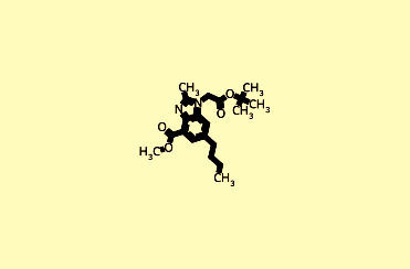 CCCCc1cc(C(=O)OC)c2nc(C)n(CC(=O)OC(C)(C)C)c2c1